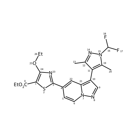 CCOC(=O)c1sc(-c2ccn3ncc(-c4c(C)nn(C(F)F)c4C)c3c2)nc1OCC